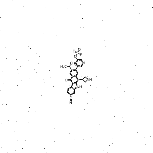 CC(C)c1cc2c(=O)c3c4ccc(C#N)cc4[nH]c3n(C3CNC3)c2cc1-c1cncc(OS(=O)(=O)F)c1